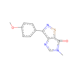 COc1ccc(-c2nsc3c(=O)n(C)cnc23)cc1